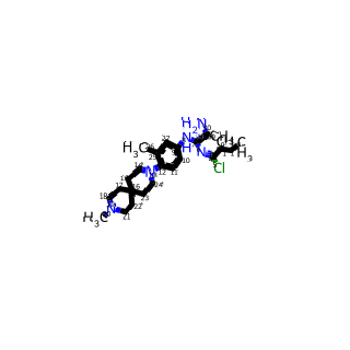 C=C(CC)/C(Cl)=N\C(Nc1ccc(N2CCC3(CCN(C)CC3)CC2)c(C)c1)=C(/C)N